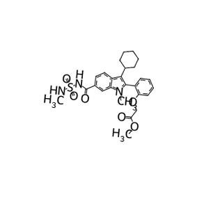 CNS(=O)(=O)NC(=O)c1ccc2c(C3CCCCC3)c(-c3ccccc3OCC(=O)OC)n(C)c2c1